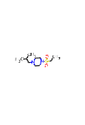 CCS(=O)(=O)N1CCN(CC(C)C)CC1